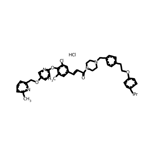 Cc1cccc(COc2ccc(Oc3c(C)cc(/C=C/C(=O)N4CCN(Cc5ccc(CCOc6ccc(C(C)C)cc6)cc5)CC4)cc3Cl)nc2)n1.Cl